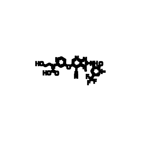 Cn1cc(C(F)(F)F)cc(Nc2nc3ncc(Oc4ccnc(N(CCO)C(=O)O)c4)c(C#N)c3n2C)c1=O